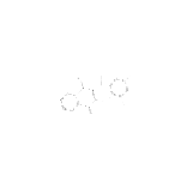 Cc1cc(C)c(OC2=C(Cl)C(=O)c3ccccc3C2=O)c(N)c1